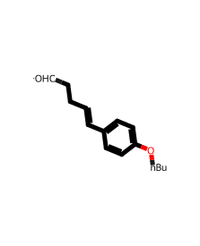 CCCCOc1ccc(/C=C/CC[C]=O)cc1